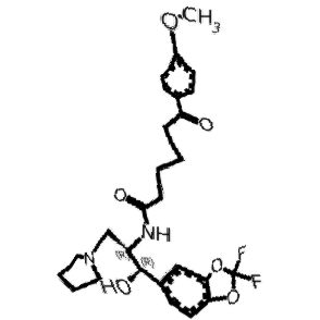 COc1ccc(C(=O)CCCCC(=O)N[C@H](CN2CCCC2)[C@H](O)c2ccc3c(c2)OC(F)(F)O3)cc1